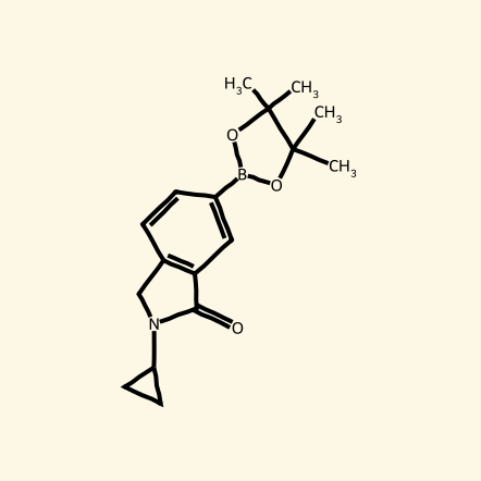 CC1(C)OB(c2ccc3c(c2)C(=O)N(C2CC2)C3)OC1(C)C